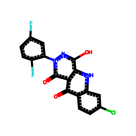 O=c1c2ccc(Cl)cc2[nH]c2c(O)nn(-c3cc(F)ccc3F)c(=O)c12